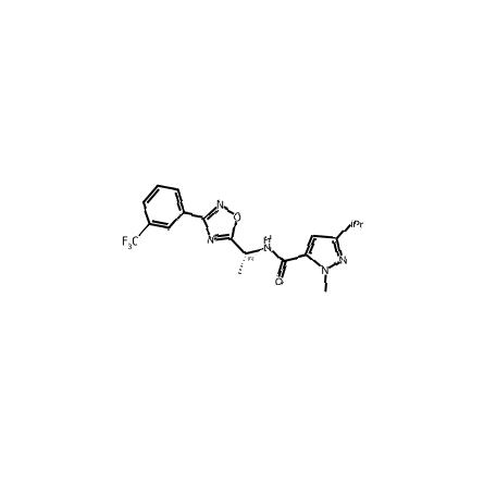 CC(C)c1cc(C(=O)N[C@H](C)c2nc(-c3cccc(C(F)(F)F)c3)no2)n(C)n1